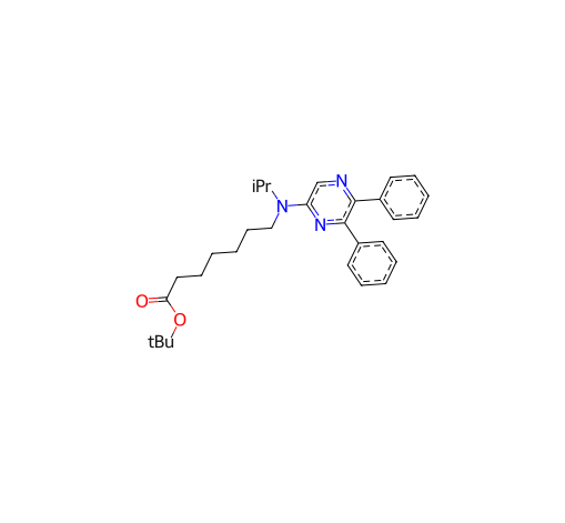 CC(C)N(CCCCCCC(=O)OC(C)(C)C)c1cnc(-c2ccccc2)c(-c2ccccc2)n1